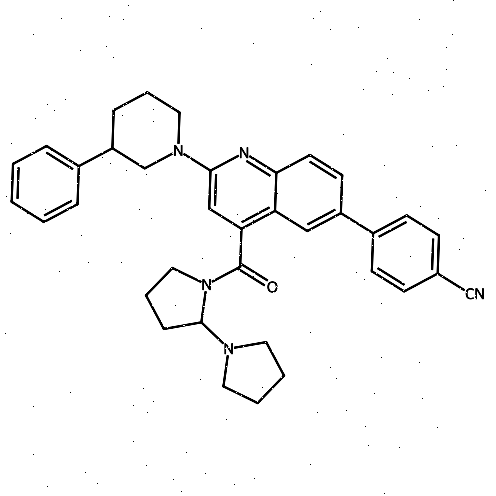 N#Cc1ccc(-c2ccc3nc(N4CCCC(c5ccccc5)C4)cc(C(=O)N4CCCC4N4CCCC4)c3c2)cc1